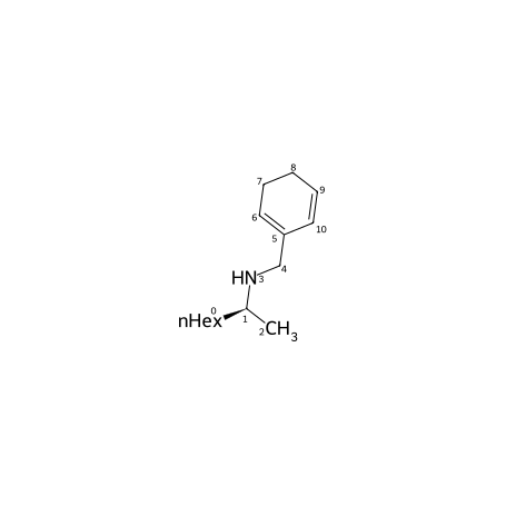 CCCCCC[C@H](C)NCC1=CCCC=C1